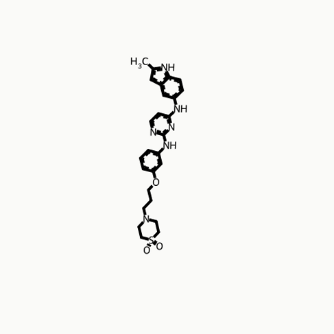 Cc1cc2cc(Nc3ccnc(Nc4cccc(OCCCN5CCS(=O)(=O)CC5)c4)n3)ccc2[nH]1